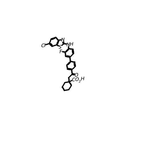 O=C(CC1(C(=O)O)CCCCC1)c1ccc(-c2ccc(Nc3nc4ccc(Cl)cc4s3)c(F)c2)cc1